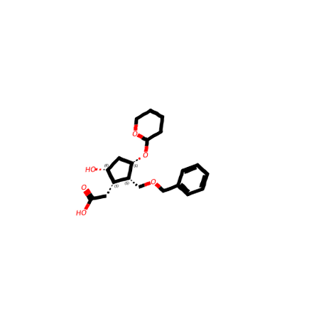 O=C(O)C[C@H]1[C@@H](COCc2ccccc2)[C@@H](OC2CCCCO2)C[C@H]1O